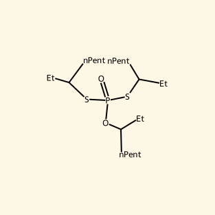 CCCCCC(CC)OP(=O)(SC(CC)CCCCC)SC(CC)CCCCC